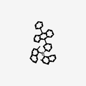 Cc1ccc2ccccc2c1B(c1cccc(-c2c3ccccc3c(-c3ccccc3)c3ccccc23)c1)c1c(C)ccc2ccccc12